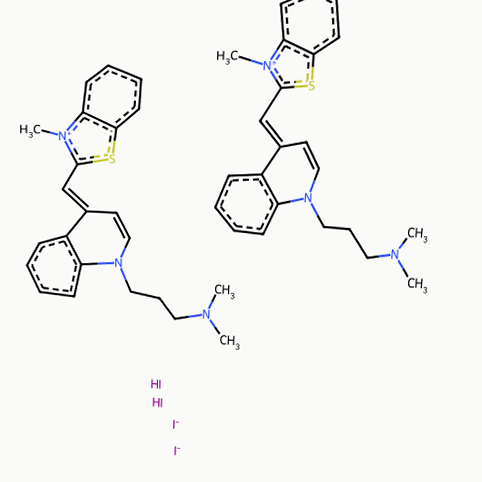 CN(C)CCCN1C=CC(=Cc2sc3ccccc3[n+]2C)c2ccccc21.CN(C)CCCN1C=CC(=Cc2sc3ccccc3[n+]2C)c2ccccc21.I.I.[I-].[I-]